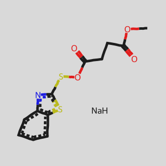 COC(=O)CCC(=O)OSc1nc2ccccc2s1.[NaH]